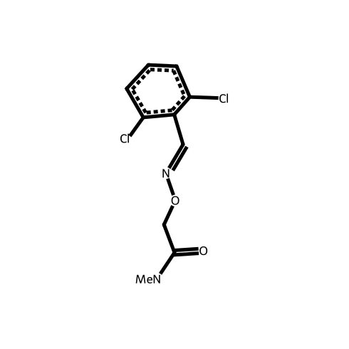 CNC(=O)CON=Cc1c(Cl)cccc1Cl